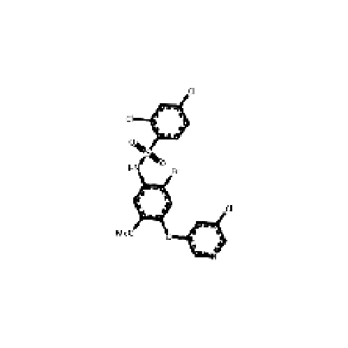 COc1cc(NS(=O)(=O)c2ccc(Cl)cc2Cl)c(Br)cc1Oc1cncc(Cl)c1